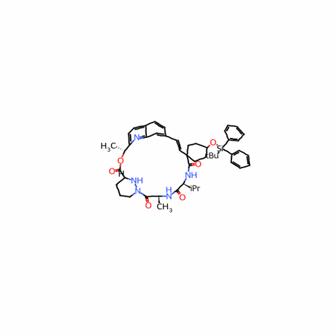 CC(C)[C@@H]1NC(=O)C2(/C=C/c3ccc4ccc(nc4c3)[C@@H](C)OC(=O)[C@@H]3CCCN(N3)C(=O)[C@H](C)NC1=O)CCC(O[Si](c1ccccc1)(c1ccccc1)C(C)(C)C)CC2